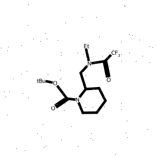 CCN(CC1CCCCN1C(=O)OC(C)(C)C)C(=O)C(F)(F)F